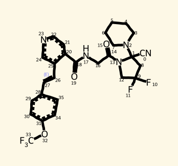 N#CC1(N2CCCCC2)CC(F)(F)CN1C(=O)CNC(=O)c1ccncc1/C=C/c1ccc(OC(F)(F)F)cc1